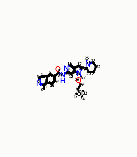 Cc1nccc2cc(C(=O)Nc3cc4c(cn3)cc([C@H]3CCCCN3C)n4COCC[Si](C)(C)C)ccc12